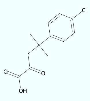 CC(C)(CC(=O)C(=O)O)c1ccc(Cl)cc1